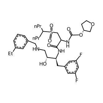 CCCC(CCC)S(=O)(=O)CC(NC(=O)O[C@@H]1CCOC1)C(=O)N[C@@H](Cc1cc(F)cc(F)c1)[C@H](O)CNCc1cccc(CC)c1